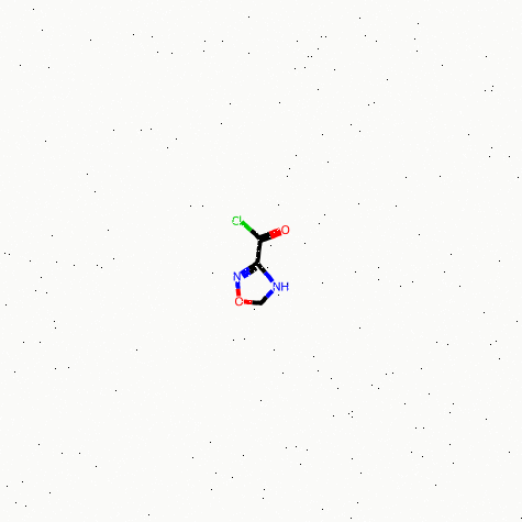 O=C(Cl)C1=NOCN1